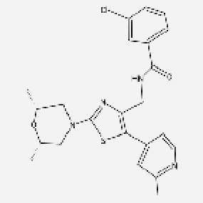 Cc1cc(-c2sc(N3C[C@@H](C)O[C@@H](C)C3)nc2CNC(=O)c2cccc(Cl)c2)ccn1